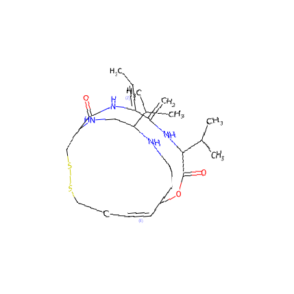 C=C1NC(C(C)C)C(=O)OC2/C=C/CCSSCC(NCC(C(C)C)NCC2)C(=O)N/C1=C\C